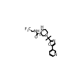 CC(C)(c1ncc(-c2cccnc2)o1)N1CCN[C@H](C(=O)NCC(F)(F)F)C1